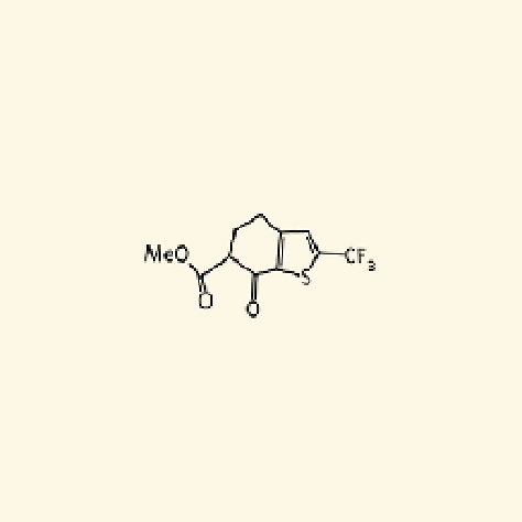 COC(=O)C1CCc2cc(C(F)(F)F)sc2C1=O